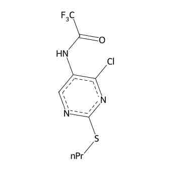 CCCSc1ncc(NC(=O)C(F)(F)F)c(Cl)n1